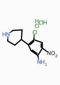 Cl.Cl.Nc1cc(C2CCNCC2)c(Cl)cc1[N+](=O)[O-]